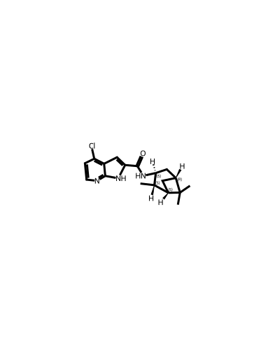 C[C@@H]1[C@@H](NC(=O)c2cc3c(Cl)ccnc3[nH]2)C[C@H]2C[C@@H]1C2(C)C